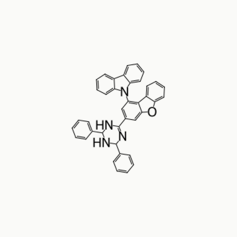 c1ccc(C2N=C(c3cc(-n4c5ccccc5c5ccccc54)c4c(c3)oc3ccccc34)NC(c3ccccc3)N2)cc1